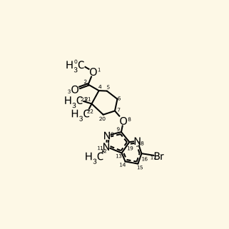 COC(=O)C1CCC(Oc2nn(C)c3ccc(Br)nc23)CC1(C)C